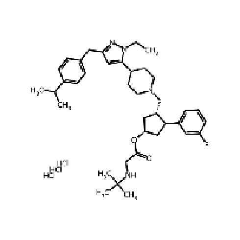 CCn1nc(Cc2ccc(C(C)C)cc2)cc1C1CCN(C[C@H]2C[C@H](OC(=O)CNC(C)(C)C)C[C@@H]2c2cccc(F)c2)CC1.Cl.Cl.Cl